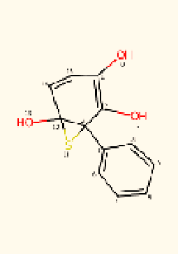 OC1=C(O)C2(c3ccccc3)SC2(O)C=C1